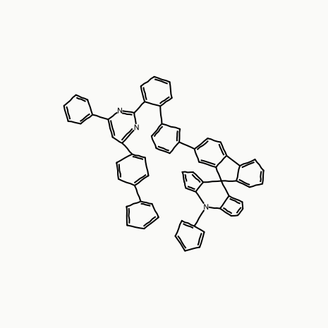 c1ccc(-c2ccc(-c3cc(-c4ccccc4)nc(-c4ccccc4-c4cccc(-c5ccc6c(c5)C5(c7ccccc7-6)c6ccccc6N(c6ccccc6)c6ccccc65)c4)n3)cc2)cc1